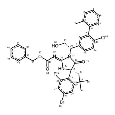 Cc1cccnc1-c1cc([C@@H](CO)N2C(=O)[C@@](CC(C)(C)C)(c3ccc(Br)cc3F)NC2=NC(=O)OCc2ccccc2)ccc1Cl